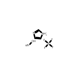 C1=C[NH2+]C=N1.CCCO.F[B-](F)(F)F